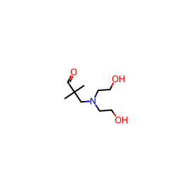 CC(C)(C=O)CN(CCO)CCO